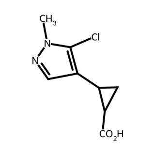 Cn1ncc(C2CC2C(=O)O)c1Cl